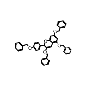 C1=C(OCc2ccccc2)C(c2ccc(OCc3ccccc3)cc2)Oc2cc(OCc3ccccc3)cc(OCc3ccccc3)c21